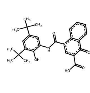 CC(C)(C)c1cc(NC(=O)n2cc(C(=O)O)c(=O)c3ccccc32)c(O)c(C(C)(C)C)c1